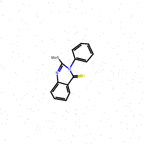 CSc1nc2ccccc2c(=S)n1-c1ccccc1